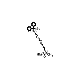 CCCCC([SiH2]OCCOCCOCCOCCON(C)C(=O)OC(C)(C)C)(c1ccccc1)c1ccccc1